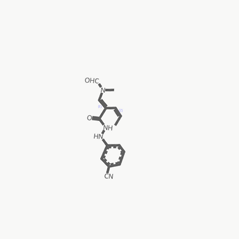 C/C=C\C(=C/N(C)C=O)C(=O)NNc1cccc(C#N)c1